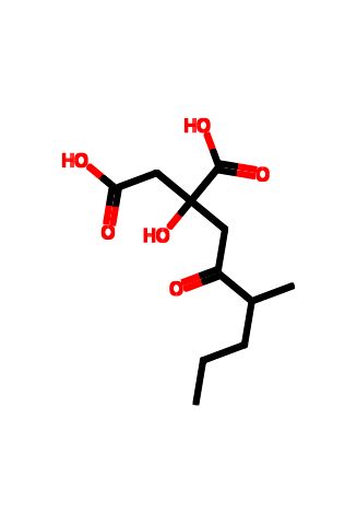 CCCC(C)C(=O)CC(O)(CC(=O)O)C(=O)O